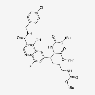 CCCOC(=O)C(NC(=O)OC(C)(C)C)C(CCCNC(=O)OC(C)(C)C)c1cc(F)c2ncc(C(=O)NCc3ccc(Cl)cc3)c(O)c2c1